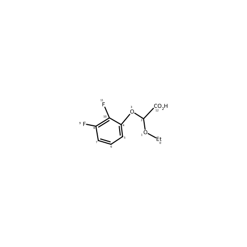 CCOC(Oc1cccc(F)c1F)C(=O)O